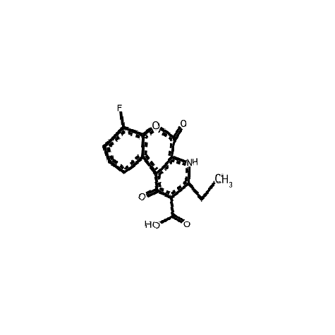 CCc1[nH]c2c(=O)oc3c(F)cccc3c2c(=O)c1C(=O)O